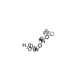 COC(=O)c1ccn(Cc2ccc(-c3noc(-c4ccc(C5=CCCCC5)c(C(F)(F)F)c4)n3)cc2)n1